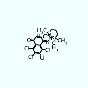 C[Si]1(C)CCC[Si](C)(C)N1N=C1C=CC(=O)c2c(Cl)c(Cl)c(Cl)c(Cl)c21